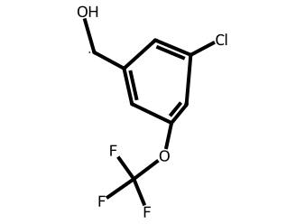 O[CH]c1cc(Cl)cc(OC(F)(F)F)c1